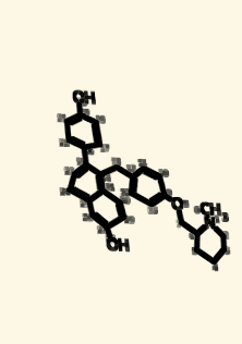 CN1CCCCC1COc1ccc(Cc2c(-c3ccc(O)cc3)ccc3cc(O)ccc23)cc1